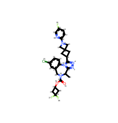 CC1c2nnc(C3CC4(C3)CN(c3ccc(F)cn3)C4)n2-c2ccc(Cl)cc2CN1C(=O)OC1CC(F)(F)C1